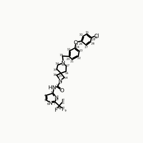 O=C(Nc1ccnc(C(F)(F)F)n1)N1CC2(CCN(Cc3cccc(Oc4ccc(Cl)cc4)c3)CC2)C1